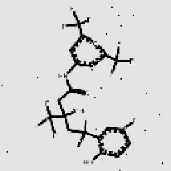 CC(C)(CC(O)(CC(=O)Nc1cc(C(F)(F)F)cc(C(F)(F)F)c1)C(F)(F)F)c1cc(F)ccc1O